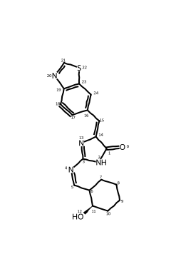 O=C1NC(/N=C\C2CCCC[C@H]2O)=NC/1=C\c1c#cc2ncsc2c1